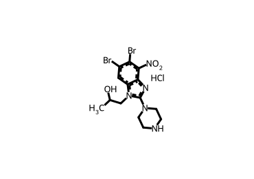 CC(O)Cn1c(N2CCNCC2)nc2c([N+](=O)[O-])c(Br)c(Br)cc21.Cl